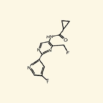 O=C(Nc1cnc(-c2cncc(F)c2)nc1CF)C1CC1